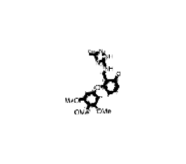 COc1cc(Oc2cccc(Cl)c2CNc2nc(C)n[nH]2)cc(OC)c1OC